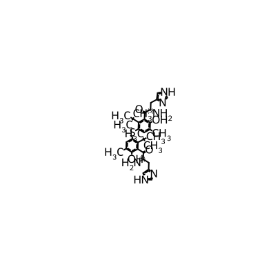 Cc1cc(Sc2cc(C)c(O)c(C(=O)[C@@H](N)Cc3c[nH]cn3)c2C(C)(C)C)c(C(C)(C)C)c(C(=O)[C@@H](N)Cc2c[nH]cn2)c1O